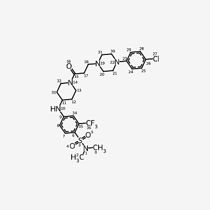 CN(C)S(=O)(=O)c1ccc(NC2CCN(C(=O)CCN3CCN(c4ccc(Cl)cc4)CC3)CC2)cc1C(F)(F)F